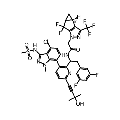 Cn1nc(NS(C)(=O)=O)c2c(Cl)ccc(-c3ccc(C#CC(C)(C)O)nc3C(Cc3cc(F)cc(F)c3)NC(=O)Cn3nc(C(F)(F)F)c4c3C(F)(F)C3C[C@H]43)c21